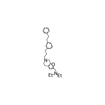 CCN(CC)Cc1cc2c(o1)CN(CCCc1cccc(CCc3ccccc3)c1)CC2